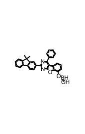 CC1(C)c2ccccc2-c2ccc(-c3nc(-c4ccccc4)c4c(n3)oc3c(OBO)cccc34)cc21